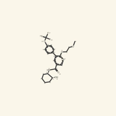 COCCOc1ncc(C(=O)N[C@@H]2CCCC[C@H]2O)cc1-c1ccc(OC(F)(F)F)cc1